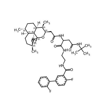 C[C@H]1[C@@H](CC(=O)NC(CC(=O)NC(C)(C)C)C(=O)NCCNC(=O)c2cc(-c3ccccc3F)ccc2F)O[C@@H]2O[C@@]3(C)CC[C@H]4[C@H](C)CC[C@@H]1[C@@]24OO3